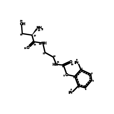 CC(C)c1cccc(C(C)C)c1OC(=O)NCCNC(=O)[C@@H](N)CO